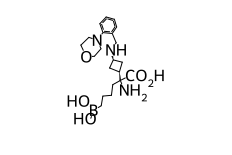 NC(CCCCB(O)O)(C(=O)O)[C@H]1C[C@@H](NCc2ccccc2N2CCOCC2)C1